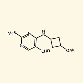 COC1CC(Nc2nc(SC)ncc2C=O)C1